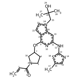 C=CC(=O)N1CCC(Oc2nc(Nc3ncc(C)s3)cc3c2ccn3CC(C)(C)O)C1